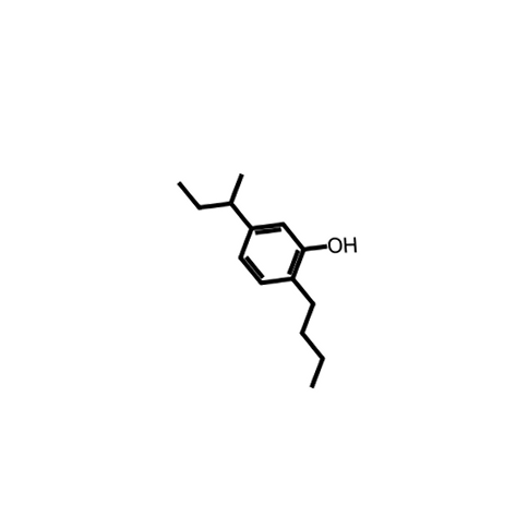 CCCCc1ccc(C(C)CC)cc1O